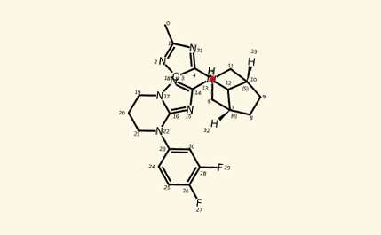 Cc1noc(N2C[C@H]3CC[C@@H](C2)C3Nc2nc3n(n2)CCCN3c2ccc(F)c(F)c2)n1